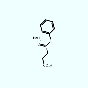 O=C(O)CC[PH](=O)Oc1ccccc1.[BaH2]